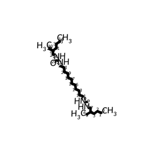 CCCCC(CC)CNCNCCCCCCCCCCCCNC(=O)NCC(CC)CCCC